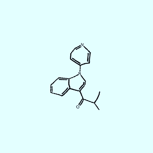 CC(C)C(=O)c1cn(-c2ccncc2)c2ccccc12